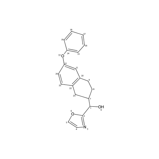 OC(c1ncco1)C1CCc2cc(Oc3ccccc3)ccc2C1